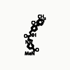 CNC(=O)c1ccc2nc(C(=O)NCc3ccc(-c4ccnc(C)c4)c(C)c3)cn2c1